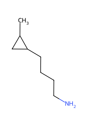 CC1CC1CCCCN